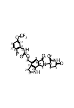 O=C1CCC(N2Cc3c(cc(COC(=O)Nc4cc(OC(F)(F)F)ccc4F)c4c3NCC4)C2=O)C(=O)N1